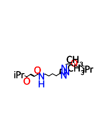 CC(C)CCOC(C)(C)Cn1cc(CCCCNC(=O)/C=C/C(=O)C(C)C)nn1